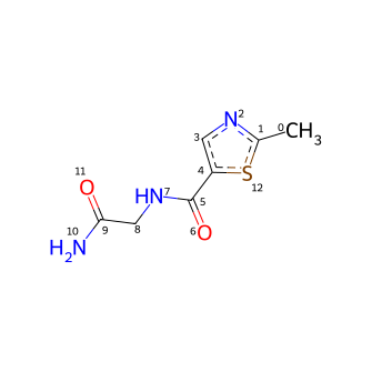 Cc1ncc(C(=O)NCC(N)=O)s1